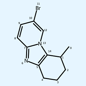 CC1CCCc2nc3ccc(Br)cn3c21